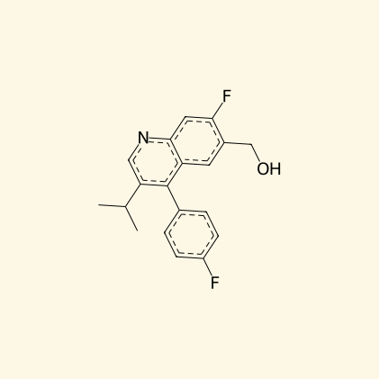 CC(C)c1cnc2cc(F)c(CO)cc2c1-c1ccc(F)cc1